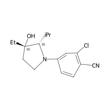 CC[C@]1(O)CCN(c2ccc(C#N)c(Cl)c2)[C@H]1C(C)C